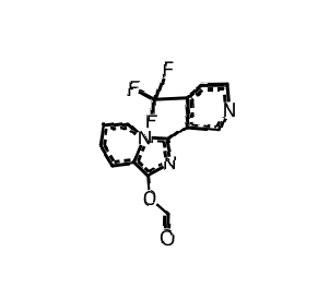 O=COc1nc(-c2cnccc2C(F)(F)F)n2ccccc12